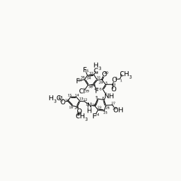 CCOC(=O)C(=CNc1cc(NCc2ccc(OC)cc2OC)c(F)cc1CO)C(=O)c1c(C)c(F)c(F)c(Cl)c1F